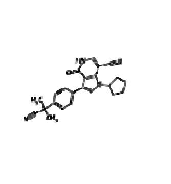 CC(C)(C#N)c1ccc(-c2cn(C3CCCC3)c3c(C#N)c[nH]c(=O)c23)cc1